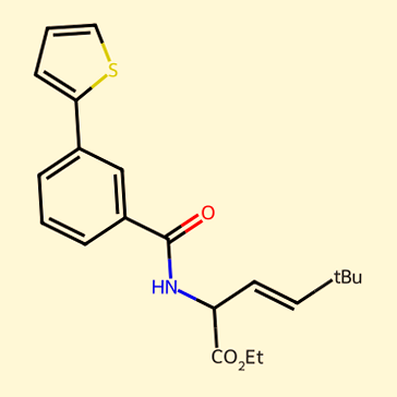 CCOC(=O)C(/C=C/C(C)(C)C)NC(=O)c1cccc(-c2cccs2)c1